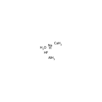 F.O.[AlH3].[CaH2].[NaH]